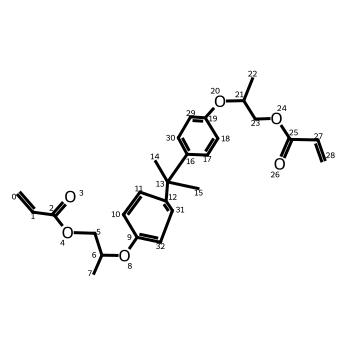 C=CC(=O)OCC(C)Oc1ccc(C(C)(C)c2ccc(OC(C)COC(=O)C=C)cc2)cc1